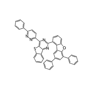 c1ccc(-c2cc(-c3ccccc3)c3oc4cccc(-c5nc(-c6ccc(-c7ccccc7)nn6)c6sc7ccccc7c6n5)c4c3c2)cc1